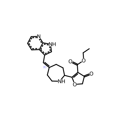 CCOC(=O)C1=C(C2CC/C(=C\c3c[nH]c4ncccc34)CCN2)OCC1=O